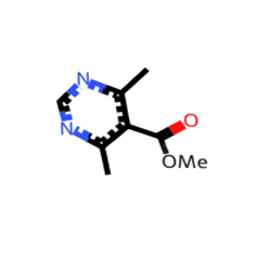 COC(=O)c1c(C)ncnc1C